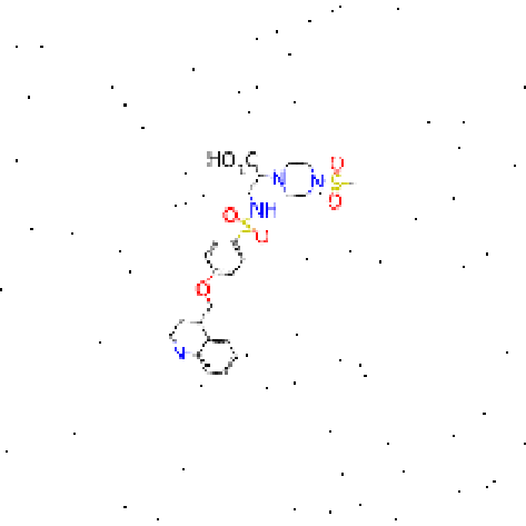 CS(=O)(=O)N1CCN(C(CNS(=O)(=O)c2ccc(OCc3ccnc4ccccc34)cc2)C(=O)O)CC1